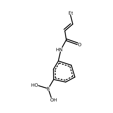 CCC=CC(=O)Nc1cccc(B(O)O)c1